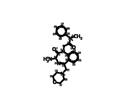 CN(C(=O)CN1C(=O)C(N)N=C(CN2CCOCC2)c2ccccc21)c1ccccc1